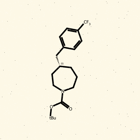 CC(C)(C)OC(=O)N1CCC[C@@H](Cc2ccc(C(F)(F)F)cc2)CC1